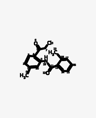 Cc1ccc(C(=O)CCl)c(NC(=O)c2ccccc2C)c1